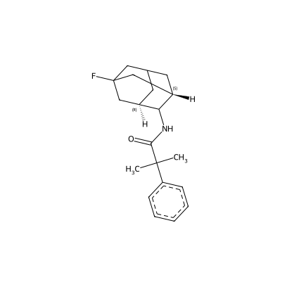 CC(C)(C(=O)NC1[C@@H]2CC3C[C@H]1CC(F)(C3)C2)c1ccccc1